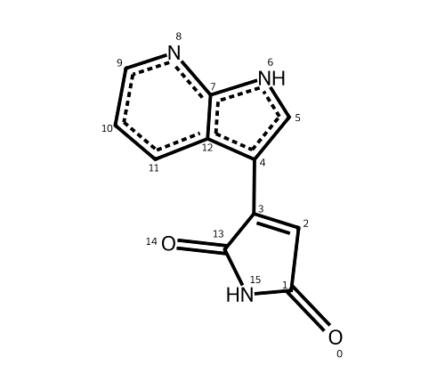 O=C1C=C(c2c[nH]c3ncccc23)C(=O)N1